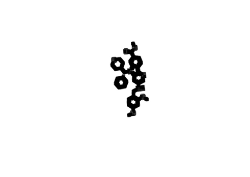 COC(=O)c1ccc2c3ncc(NCc4ccc(OC)cc4OC)cc3n([C@H](c3ccccc3)C3CCOCC3)c2c1